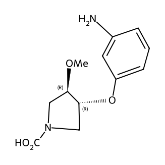 CO[C@@H]1CN(C(=O)O)C[C@H]1Oc1cccc(N)c1